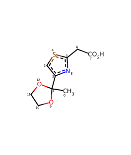 CC1(c2csc(CC(=O)O)n2)OCCO1